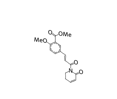 COC(=O)c1cc(/C=C/C(=O)N2CCC=CC2=O)ccc1OC